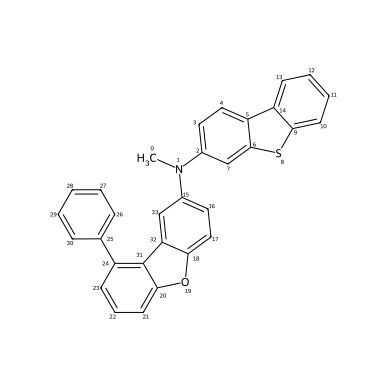 CN(c1ccc2c(c1)sc1ccccc12)c1ccc2oc3cccc(-c4ccccc4)c3c2c1